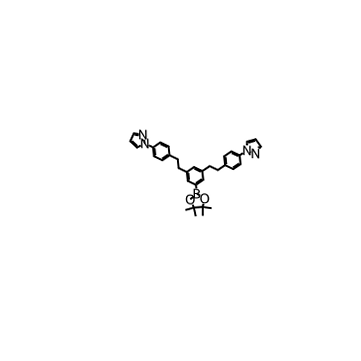 CC1(C)OB(c2cc(CCc3ccc(-n4cccn4)cc3)cc(CCc3ccc(-n4cccn4)cc3)c2)OC1(C)C